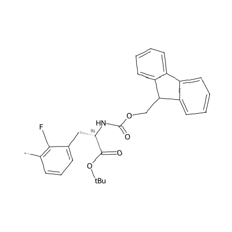 Cc1cccc(C[C@H](NC(=O)OCC2c3ccccc3-c3ccccc32)C(=O)OC(C)(C)C)c1F